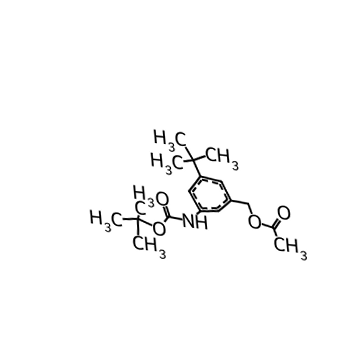 CC(=O)OCc1cc(NC(=O)OC(C)(C)C)cc(C(C)(C)C)c1